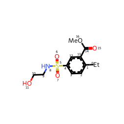 CCc1ccc(S(=O)(=O)NCCO)cc1C(=O)OC